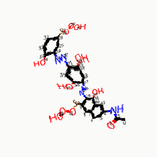 CC(=O)Nc1ccc2cc(SOOO)c(N=Nc3cc(O)c(N=Nc4cc(SOOO)ccc4O)cc3O)c(O)c2c1